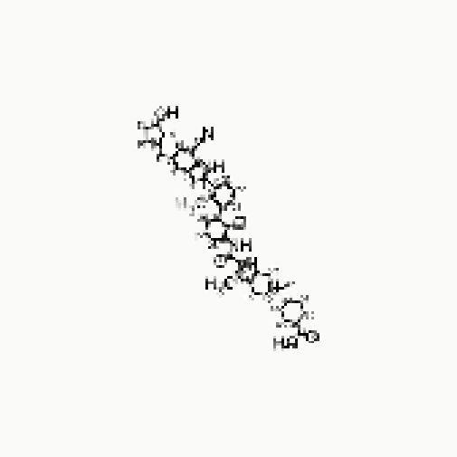 Cc1c(-c2cc3cc(CN4CC[C@@H](O)C4)cc(C#N)c3[nH]2)cccc1-c1cccc(NC(=O)c2nc3c(n2C)CCN(C[C@H]2CC[C@H](C(=O)O)CC2)C3)c1Cl